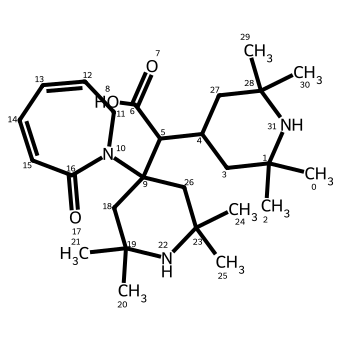 CC1(C)CC(C(C(=O)O)C2(N3CC=CC=CC3=O)CC(C)(C)NC(C)(C)C2)CC(C)(C)N1